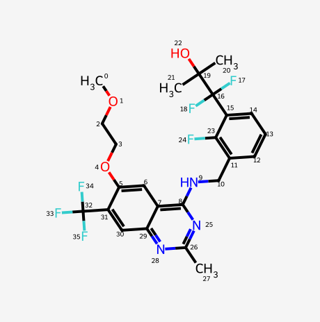 COCCOc1cc2c(NCc3cccc(C(F)(F)C(C)(C)O)c3F)nc(C)nc2cc1C(F)(F)F